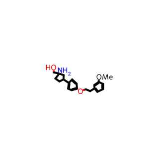 COc1cccc(CCOc2ccc(C3CCC(N)(CO)C3)cc2)c1